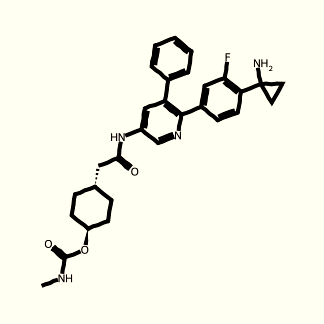 CNC(=O)O[C@H]1CC[C@H](CC(=O)Nc2cnc(-c3ccc(C4(N)CC4)c(F)c3)c(-c3ccccc3)c2)CC1